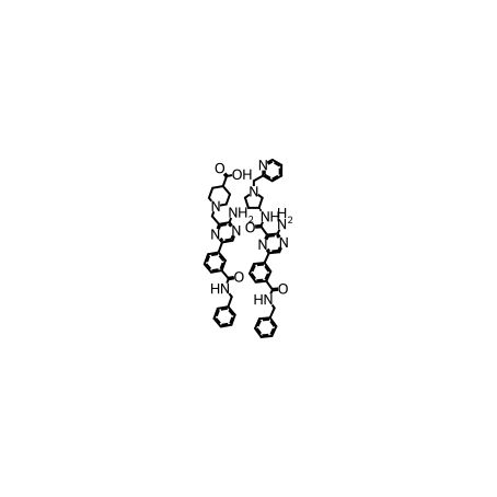 Nc1ncc(-c2cccc(C(=O)NCc3ccccc3)c2)nc1C(=O)N[C@H]1CCN(Cc2ccccn2)C1.Nc1ncc(-c2cccc(C(=O)NCc3ccccc3)c2)nc1CN1CCC(C(=O)O)CC1